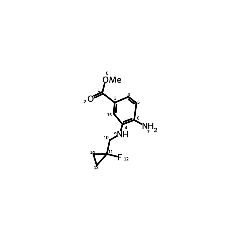 COC(=O)c1ccc(N)c(NCC2(F)CC2)c1